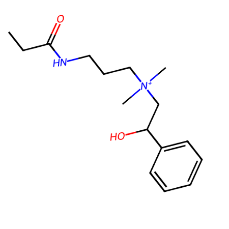 CCC(=O)NCCC[N+](C)(C)CC(O)c1ccccc1